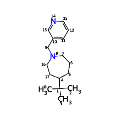 CC(C)(C)C1CCCN(Cc2cccnc2)CC1